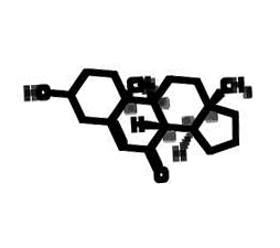 C[C@@]12CCC[C@H]1[C@@H]1C(=O)C=C3CC(O)CC[C@]3(C)[C@@H]1CC2